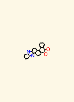 O=C1C(=O)c2ccc3c(ccc4nc5ccccc5nc43)c2-c2ccccc21